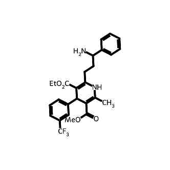 CCOC(=O)C1=C(CCC(N)c2ccccc2)NC(C)=C(C(=O)OC)C1c1cccc(C(F)(F)F)c1